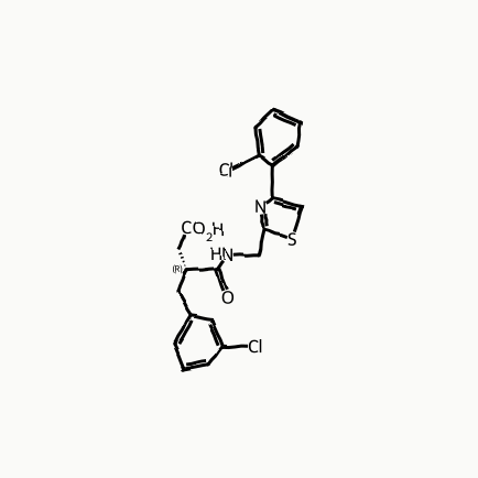 O=C(O)C[C@@H](Cc1cccc(Cl)c1)C(=O)NCc1nc(-c2ccccc2Cl)cs1